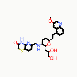 COc1cnc2cccc(CC[C@@H]3CC[C@@H](NCc4ccc5c(n4)NC(=O)CS5)[C@@H](CC(O)CO)O3)c2c1